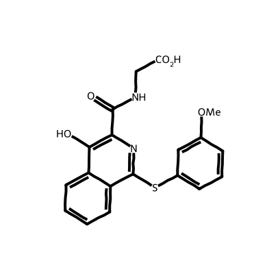 COc1cccc(Sc2nc(C(=O)NCC(=O)O)c(O)c3ccccc23)c1